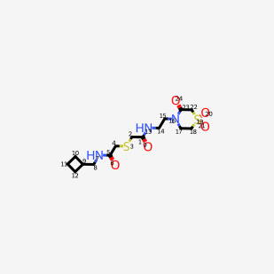 O=C(CSCC(=O)NCC1CCC1)NCCN1CCS(=O)(=O)CC1=O